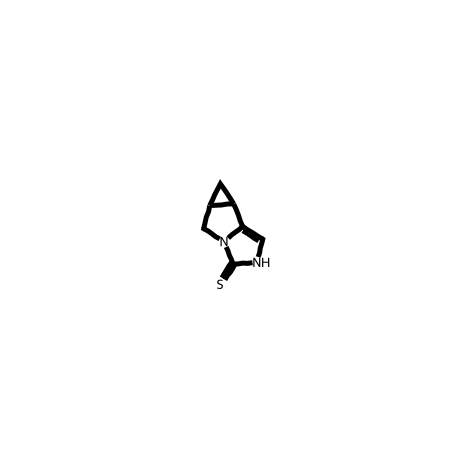 S=c1[nH]cc2n1CC1CC21